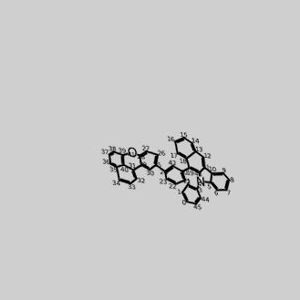 c1ccc(-n2c3ccccc3c3cc4ccccc4c(-c4cccc(-c5ccc6c(c5)-c5cccc7cccc(c57)O6)c4)c32)cc1